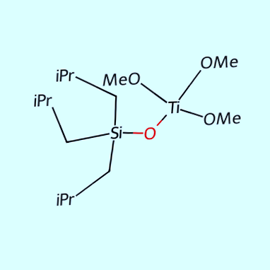 C[O][Ti]([O]C)([O]C)[O][Si](CC(C)C)(CC(C)C)CC(C)C